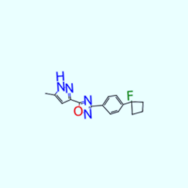 Cc1cc(-c2nc(-c3ccc(C4(F)CCC4)cc3)no2)n[nH]1